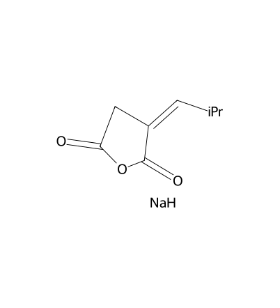 CC(C)C=C1CC(=O)OC1=O.[NaH]